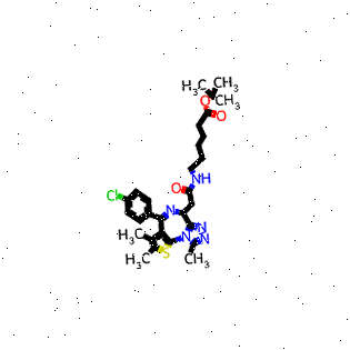 Cc1sc2c(c1C)C(c1ccc(Cl)cc1)=NC(CC(=O)NCCCCCC(=O)OC(C)(C)C)c1nnc(C)n1-2